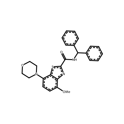 COc1ccc(N2CCOCC2)c2sc(C(=O)NC(c3ccccc3)c3ccccc3)nc12